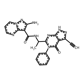 C#Cc1n[nH]c2nc(C(C)NC(=O)c3c(N)nn4cccnc34)n(-c3ccccc3)c(=O)c12